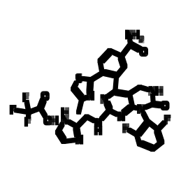 Cc1csc(-c2ccc(C(N)=O)cc2-c2nc(NCc3ncc[nH]3)nc3c2CNC(=O)N3c2c(F)cccc2F)n1.O=C(O)C(F)(F)F